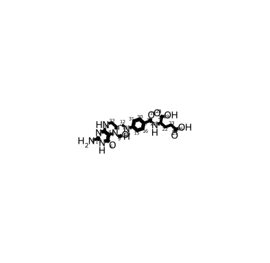 Nc1nc2c(c(=O)[nH]1)N(C=O)[C@@H](CNc1ccc(C(=O)NC(CCC(=O)O)C(=O)O)cc1)CN2